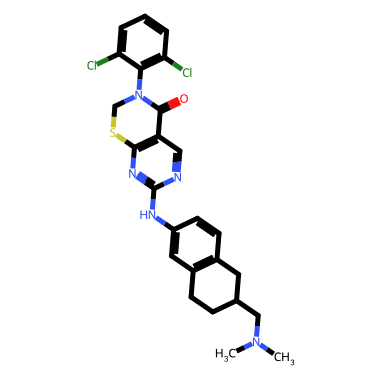 CN(C)CC1CCc2cc(Nc3ncc4c(n3)SCN(c3c(Cl)cccc3Cl)C4=O)ccc2C1